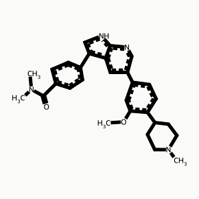 COc1cc(-c2cnc3[nH]cc(-c4ccc(C(=O)N(C)C)cc4)c3c2)ccc1C1CCN(C)CC1